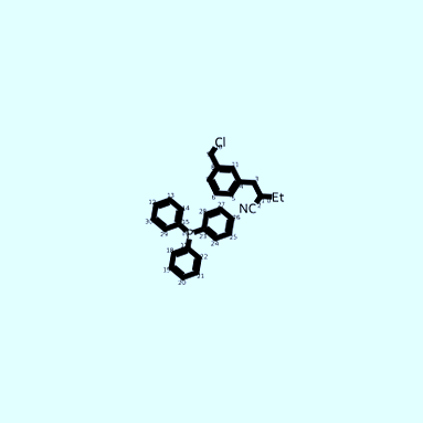 CCC(C#N)Cc1cccc(CCl)c1.c1ccc(P(c2ccccc2)c2ccccc2)cc1